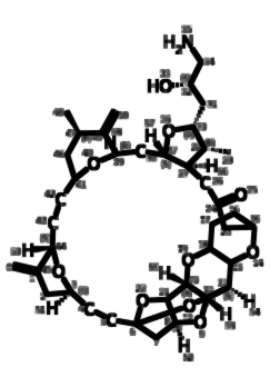 C=C1C[C@@H]2CCC34C[C@@H]5O[C@H]6[C@@H](O3)C3OC(CCC3O[C@H]6C5O4)CC(=O)C[C@@H]3[C@@H](C)[C@@H](C[C@H](O)CN)O[C@H]3C[C@H]3OC(CC[C@@H]1O2)C[C@@H](C)C3=C